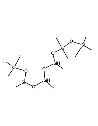 C[SiH](O[SiH](C)O[Si](C)(C)C)O[SiH](C)O[Si](C)(C)O[Si](C)(C)C